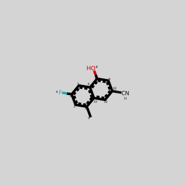 Cc1cc(F)cc2c(O)cc(C#N)cc12